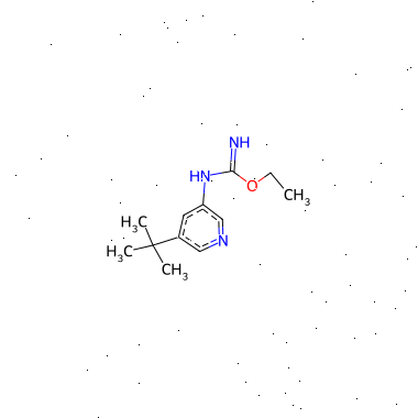 CCOC(=N)Nc1cncc(C(C)(C)C)c1